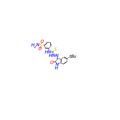 CC(C)(C)c1ccc2c(c1)C(=NNC(=S)Nc1cccc(S(N)(=O)=O)c1)C(=O)N2